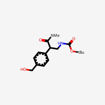 CNC(=O)C(CNC(=O)OC(C)(C)C)c1ccc(CO)cc1